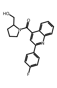 O=C(c1cc(-c2ccc(F)cc2)nc2ccccc12)N1CCCC1CO